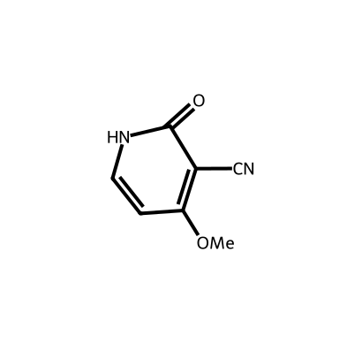 COc1cc[nH]c(=O)c1C#N